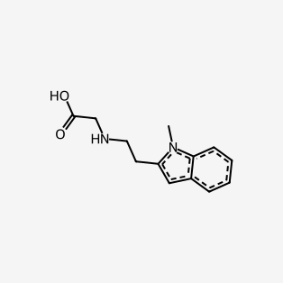 Cn1c(CCNCC(=O)O)cc2ccccc21